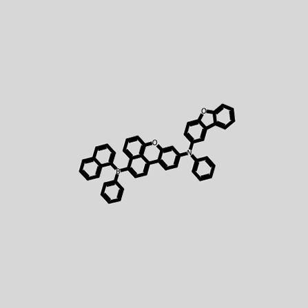 c1ccc(B(c2cccc3ccccc23)c2ccc3c4c(cccc24)Oc2cc(N(c4ccccc4)c4ccc5oc6ccccc6c5c4)ccc2-3)cc1